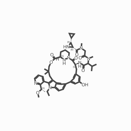 CCn1c(-c2cccnc2[C@H](C)OC)c2c3cc(ccc31)-c1cc(O)cc(c1)C[C@H](NC(=O)C(C(C)C)N(C)C(=O)CN(C)C(=O)[C@@H]1N[C@@H]1C1CC1)C(=O)N1CCC[C@H](N1)C(=O)OCC(C)(C)C2